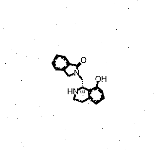 O=C1c2ccccc2CN1C[C@H]1NCCc2cccc(O)c21